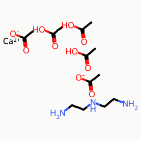 CC(=O)O.CC(=O)O.CC(=O)O.CC(=O)[O-].CC(=O)[O-].NCCNCCN.[Ca+2]